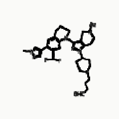 CC(=O)N1CCc2c(c(N3CCCc4cc(-c5cnn(C)c5)c(C(F)F)cc43)nn2C2CCN(CCCC=O)CC2)C1